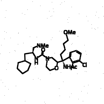 CNC[C@H](CC1CCCCC1)NC(=O)N1CCOC([C@](CCCCOC)(NC(C)=O)c2cccc(Cl)c2F)C1